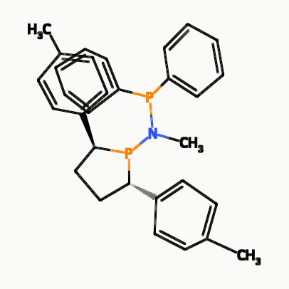 Cc1ccc([C@@H]2CC[C@@H](c3ccc(C)cc3)P2N(C)P(c2ccccc2)c2ccccc2)cc1